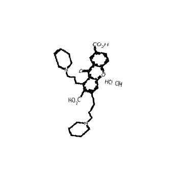 Cl.Cl.O=C(O)c1ccc2oc3cc(CCCN4CCCCC4)c(C(=O)O)c(CCCN4CCCCC4)c3c(=O)c2c1